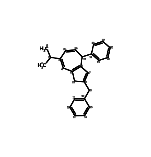 CC(C)C1=CC2=C(C=C(Cc3ccccc3)C2)C(c2ccccc2)C=C1